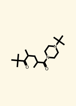 CC(CC(C)C(=O)C(C)(C)C)C(=O)N1CCN(C(C)(C)C)CC1